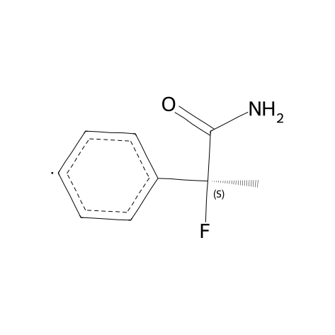 C[C@@](F)(C(N)=O)c1cc[c]cc1